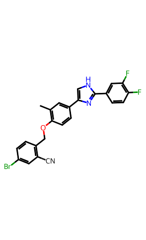 Cc1cc(-c2c[nH]c(-c3ccc(F)c(F)c3)n2)ccc1OCc1ccc(Br)cc1C#N